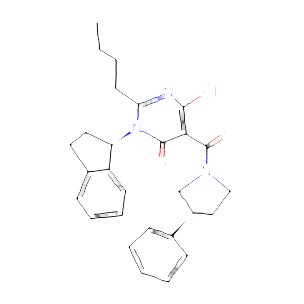 CCCCc1nc(O)c(C(=O)N2CC[C@@H](c3ccccc3)C2)c(=O)n1[C@@H]1CCc2ccccc21